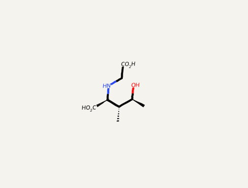 C[C@@H]([C@H](C)O)[C@H](NCC(=O)O)C(=O)O